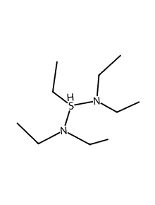 CCN(CC)[SH](CC)N(CC)CC